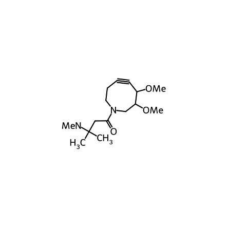 CNC(C)(C)CC(=O)N1CCC#CC(OC)C(OC)C1